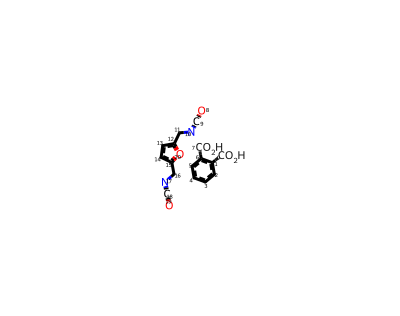 O=C(O)c1ccccc1C(=O)O.O=C=NCc1ccc(CN=C=O)o1